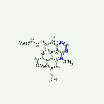 C#Cc1cccc(N(C)c2ncnc3c(I)c(OCCOC)c(OCCOC)cc23)c1